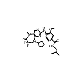 COc1cc(C(=O)NCC(C)C)ccc1Nc1ncc2c(n1)N(C1CCCC1)CC(F)(F)C(=O)N2C